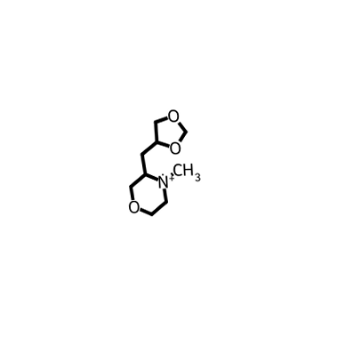 C[N+]1CCOCC1CC1COCO1